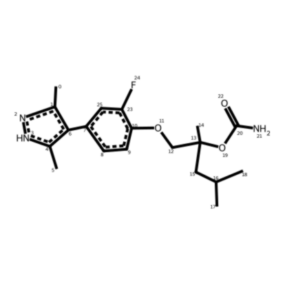 Cc1n[nH]c(C)c1-c1ccc(OCC(C)(CC(C)C)OC(N)=O)c(F)c1